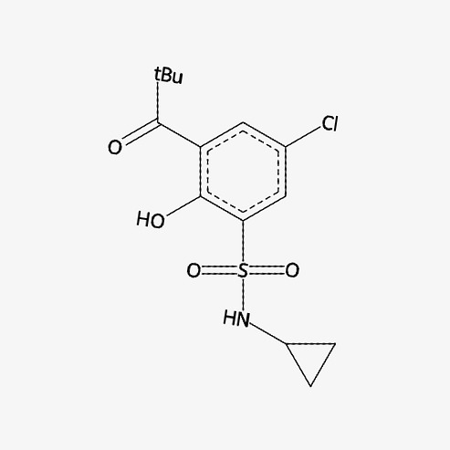 CC(C)(C)C(=O)c1cc(Cl)cc(S(=O)(=O)NC2CC2)c1O